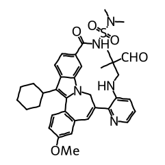 COc1ccc2c(c1)C=C(c1ncccc1NCC(C)(C)C=O)Cn1c-2c(C2CCCCC2)c2ccc(C(=O)NS(=O)(=O)N(C)C)cc21